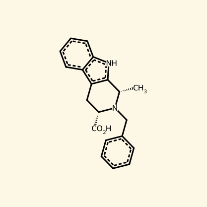 C[C@H]1c2[nH]c3ccccc3c2C[C@@H](C(=O)O)N1Cc1ccccc1